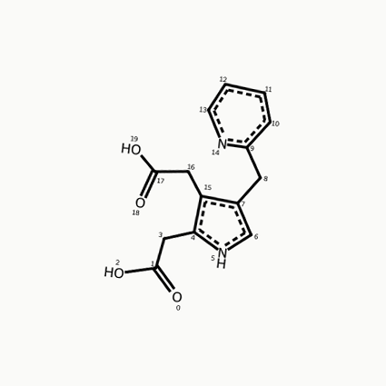 O=C(O)Cc1[nH]cc(Cc2ccccn2)c1CC(=O)O